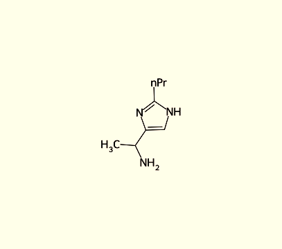 CCCc1nc(C(C)N)c[nH]1